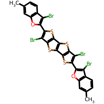 Cc1ccc2c(Br)c(-c3sc4c(sc5c6sc(-c7oc8cc(C)ccc8c7Br)c(Br)c6sc45)c3Br)oc2c1